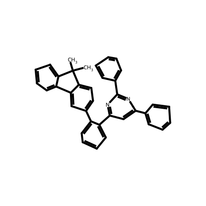 CC1(C)c2ccccc2-c2cc(-c3ccccc3-c3cc(-c4ccccc4)nc(-c4ccccc4)n3)ccc21